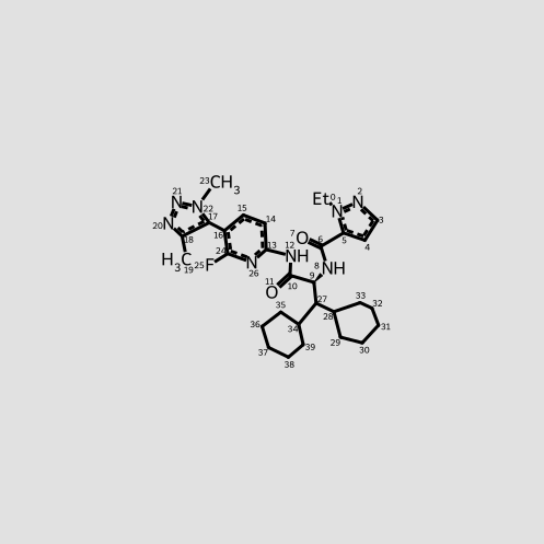 CCn1nccc1C(=O)N[C@H](C(=O)Nc1ccc(-c2c(C)nnn2C)c(F)n1)C(C1CCCCC1)C1CCCCC1